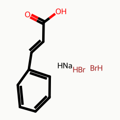 Br.Br.O=C(O)C=Cc1ccccc1.[NaH]